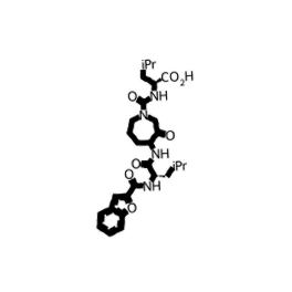 CC(C)C[C@H](NC(=O)N1CCCC(NC(=O)[C@H](CC(C)C)NC(=O)c2cc3ccccc3o2)C(=O)C1)C(=O)O